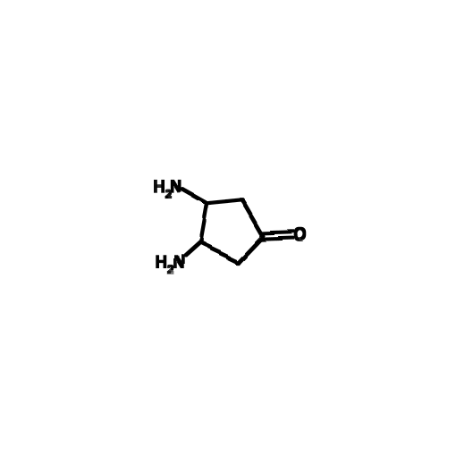 NC1CC(=O)CC1N